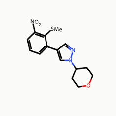 CSc1c(-c2cnn(C3CCOCC3)c2)cccc1[N+](=O)[O-]